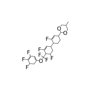 CC1COC(C2C=C(F)C(C3C=C(F)C(C(F)(F)OC4=CC(F)=C(F)C(F)C4)C(F)C3)CC2)OC1